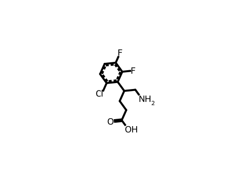 NCC(CCC(=O)O)c1c(Cl)ccc(F)c1F